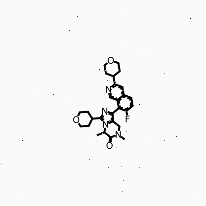 CC1C(=O)N(C)Cc2c(-c3c(F)ccc4cc(C5CCOCC5)ncc34)nc(C3CCOCC3)n21